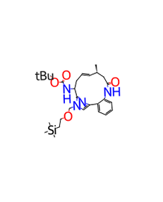 C[C@@H]1/C=C/CC(NC(=O)OC(C)(C)C)c2nc(cn2COCC[Si](C)(C)C)-c2ccccc2NC(=O)C1